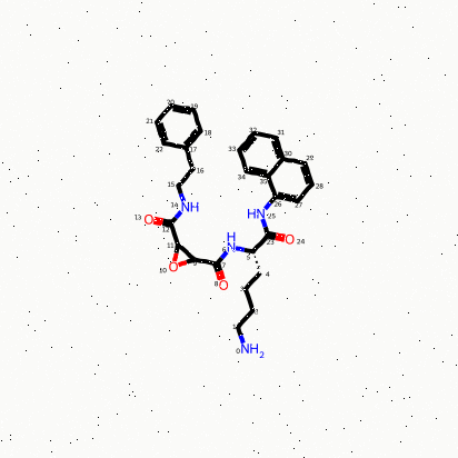 NCCCC[C@H](NC(=O)C1OC1C(=O)NCCc1ccccc1)C(=O)Nc1cccc2ccccc12